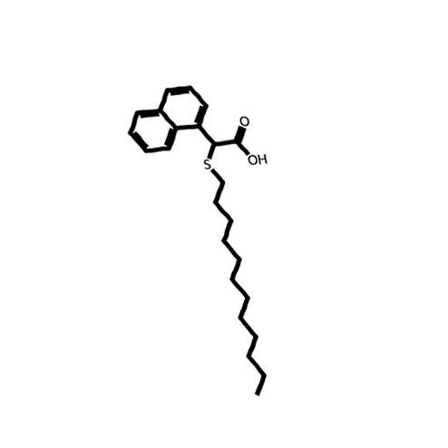 CCCCCCCCCCCCSC(C(=O)O)c1cccc2ccccc12